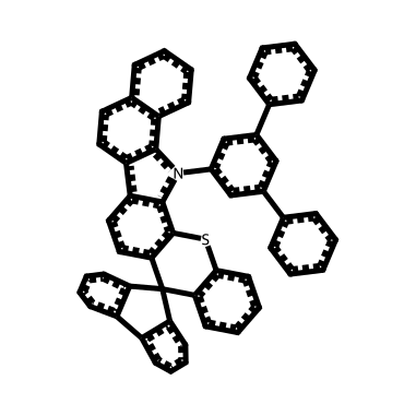 c1ccc(-c2cc(-c3ccccc3)cc(-n3c4c5c(ccc4c4ccc6ccccc6c43)C3(c4ccccc4S5)c4ccccc4-c4ccccc43)c2)cc1